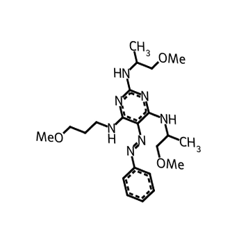 COCCCNc1nc(NC(C)COC)nc(NC(C)COC)c1N=Nc1ccccc1